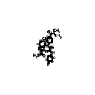 CN(C)C(=O)[C@H]1CC[C@H](NC(=S)C(=O)Nc2ccc(F)cc2)[C@H]([N+]2(C)CCc3nc(C(N)=O)sc3C2)C1